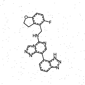 Fc1ccc2c(c1CNc1ncc(-c3cccc4nn[nH]c34)c3nncn13)CCO2